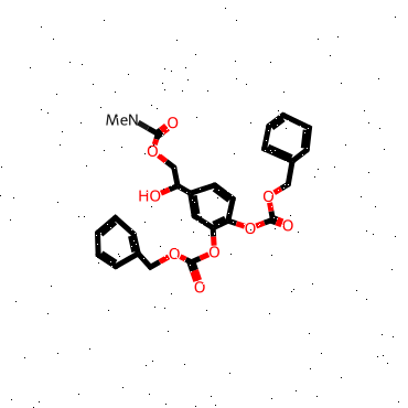 CNC(=O)OCC(O)c1ccc(OC(=O)OCc2ccccc2)c(OC(=O)OCc2ccccc2)c1